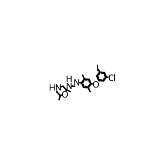 Cc1cc(Oc2cc(Cl)cc(I)c2)c(C)cc1/N=C/NC1(C)CNCC(C)O1